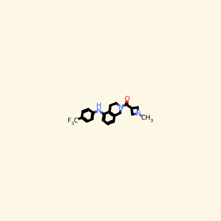 CN1CC(C(=O)N2CCc3c(cccc3Nc3ccc(C(F)(F)F)cc3)C2)C1